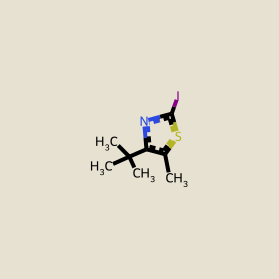 Cc1sc(I)nc1C(C)(C)C